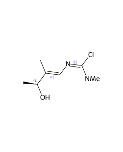 CN/C(Cl)=N\C=C(/C)[C@H](C)O